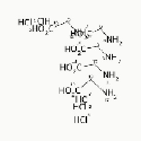 Cl.Cl.Cl.Cl.Cl.NCC(=O)O.NCC(=O)O.NCC(=O)O.NCC(=O)O.NCC(=O)O